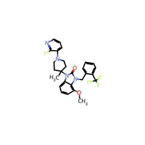 COc1cccc2c1n(Cc1ccccc1C(F)(F)F)c(=O)n2C1(C)CCN(c2cccnc2F)CC1